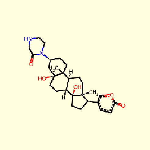 C[C@]12CC[C@H](N3CCNCC3=O)C[C@@]1(O)CC[C@@H]1[C@@H]2CC[C@]2(C)[C@@H](c3ccc(=O)oc3)CC[C@]12O